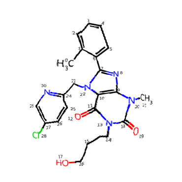 Cc1ccccc1-c1nc2c(c(=O)n(CCCO)c(=O)n2C)n1Cc1ccc(Cl)cn1